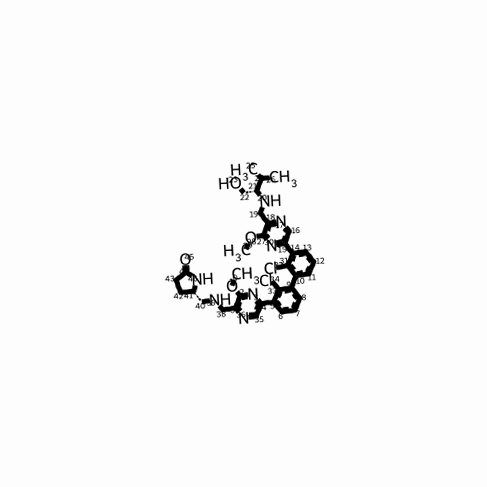 COc1nc(-c2cccc(-c3cccc(-c4cnc(CN[C@H](CO)C(C)C)c(OC)n4)c3Cl)c2Cl)cnc1CNC[C@@H]1CCC(=O)N1